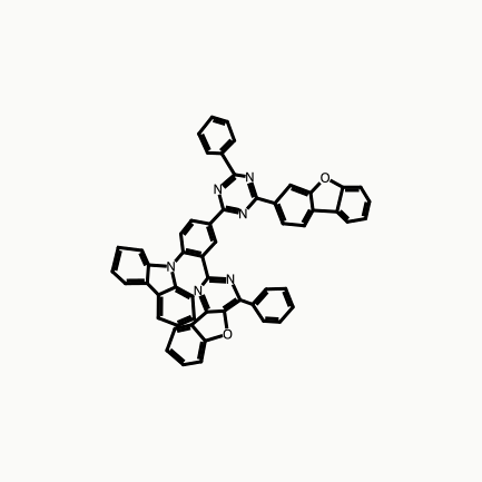 c1ccc(-c2nc(-c3ccc(-n4c5ccccc5c5ccccc54)c(-c4nc(-c5ccccc5)c5oc6ccccc6c5n4)c3)nc(-c3ccc4c(c3)oc3ccccc34)n2)cc1